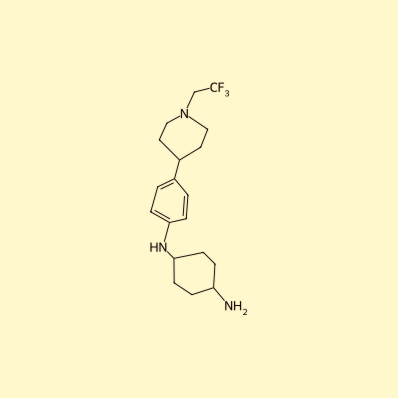 NC1CCC(Nc2ccc(C3CCN(CC(F)(F)F)CC3)cc2)CC1